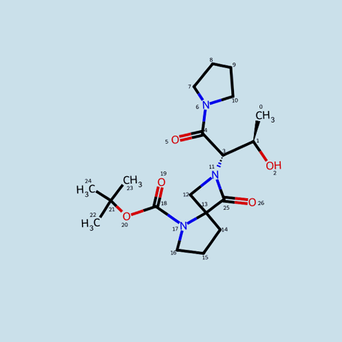 C[C@@H](O)[C@@H](C(=O)N1CCCC1)N1CC2(CCCN2C(=O)OC(C)(C)C)C1=O